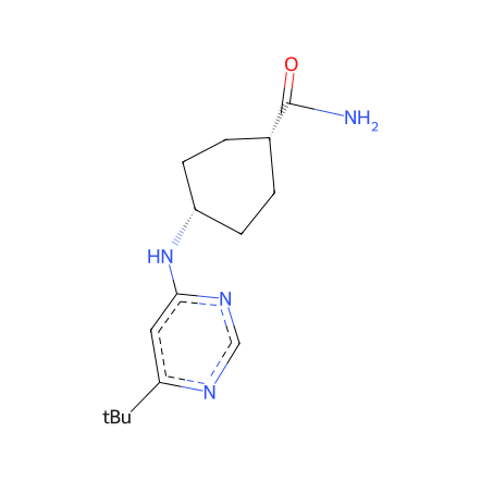 CC(C)(C)c1cc(N[C@H]2CC[C@@H](C(N)=O)CC2)ncn1